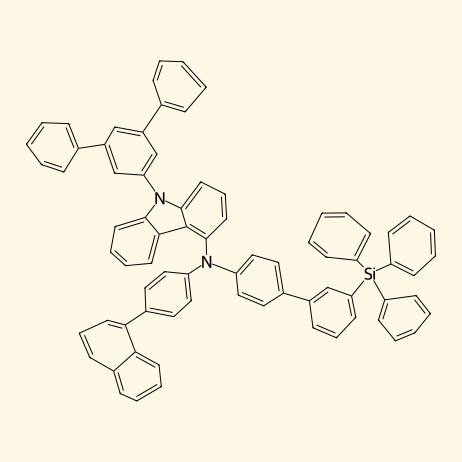 c1ccc(-c2cc(-c3ccccc3)cc(-n3c4ccccc4c4c(N(c5ccc(-c6cccc([Si](c7ccccc7)(c7ccccc7)c7ccccc7)c6)cc5)c5ccc(-c6cccc7ccccc67)cc5)cccc43)c2)cc1